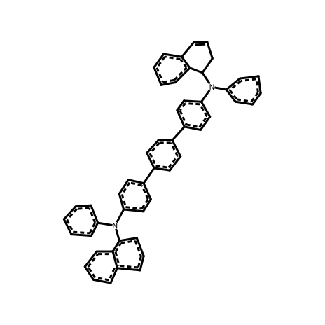 C1=Cc2ccccc2C(N(c2ccccc2)c2ccc(-c3ccc(-c4ccc(N(c5ccccc5)c5cccc6ccccc56)cc4)cc3)cc2)C1